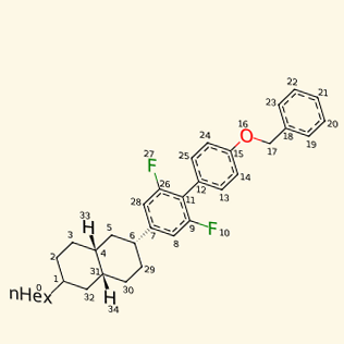 CCCCCCC1CC[C@@H]2C[C@H](c3cc(F)c(-c4ccc(OCc5ccccc5)cc4)c(F)c3)CC[C@@H]2C1